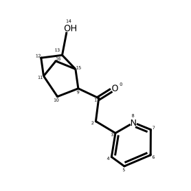 O=C(Cc1ccccn1)C1CC2CC(O)C1C2